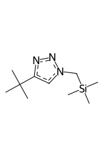 CC(C)(C)c1cn(C[Si](C)(C)C)nn1